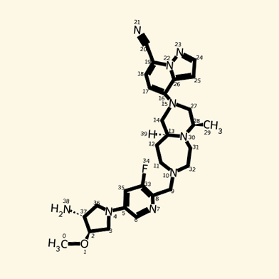 CO[C@@H]1CN(c2cnc(CN3CC[C@H]4CN(c5ccc(C#N)n6nccc56)C[C@@H](C)N4CC3)c(F)c2)C[C@H]1N